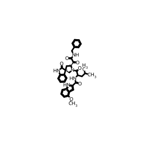 COc1cccc2[nH]c(C(=O)NC(CC(C)C)C(=O)N3C[C@]4(C[C@H]3C(=O)C(=O)NCc3ccccc3)C(=O)Nc3ccccc34)cc12